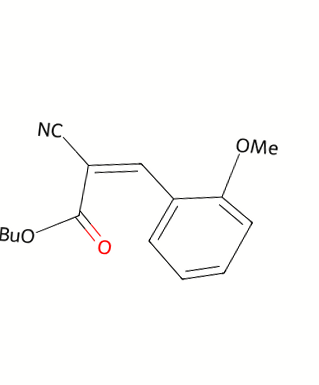 COc1ccccc1C=C(C#N)C(=O)OCC(C)C